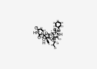 C#C[C@@]1(O)[C@H](O)[C@@H](COP(=O)(N[C@@H](C)C(=O)O[C@H](C)CC)Oc2ccccc2)O[C@@]1(C)n1ccc(=O)[nH]c1=O